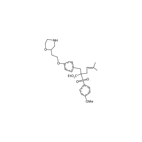 CCOC(=O)C(CC=C(C)C)(Cc1ccc(OCCC2CNCCO2)cc1)S(=O)(=O)c1ccc(OC)cc1